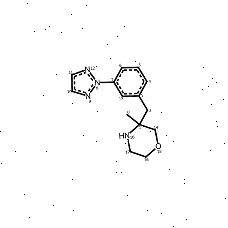 CC1(Cc2cccc(-n3nccn3)c2)COCCN1